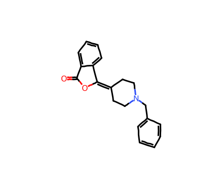 O=C1OC(=C2CCN(Cc3ccccc3)CC2)c2ccccc21